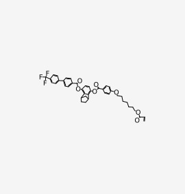 C=CC(=O)OCCCCCCCOc1ccc(C(=O)Oc2ccc(OC(=O)c3ccc(-c4ccc(C(F)(F)F)cc4)cc3)c3c2C2CCC3C2)cc1